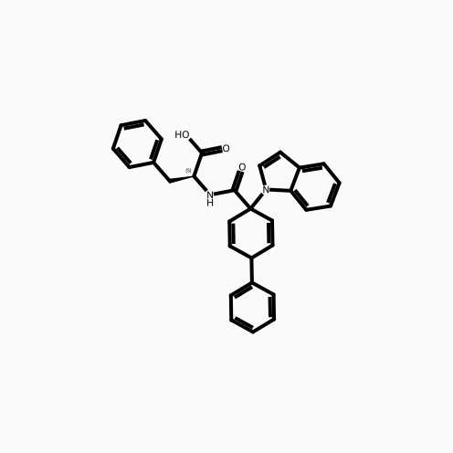 O=C(O)[C@H](Cc1ccccc1)NC(=O)C1(n2ccc3ccccc32)C=CC(c2ccccc2)C=C1